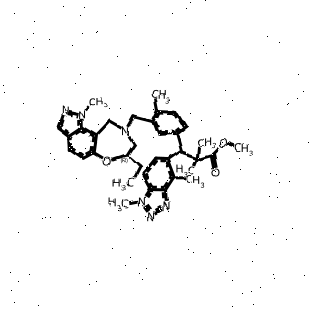 CC[C@@H]1CN(Cc2cc(C(c3ccc4c(nnn4C)c3C)C(C)(C)C(=O)OC)ccc2C)Cc2c(ccc3cnn(C)c23)O1